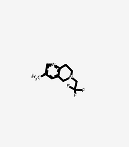 Cc1cnc2c(c1)CN(CC(F)(F)F)CC2